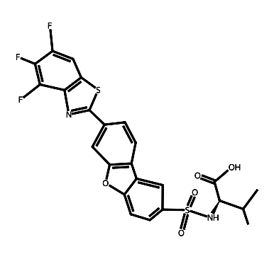 CC(C)[C@@H](NS(=O)(=O)c1ccc2oc3cc(-c4nc5c(F)c(F)c(F)cc5s4)ccc3c2c1)C(=O)O